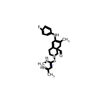 CN/C(=C\C(C)=N)SN1CCC2=CC(Nc3ccc(F)cc3)=C(C)CC2(C=O)C1